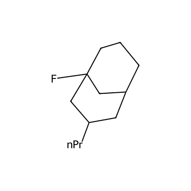 CCCC1CC2CCCC(F)(C1)C2